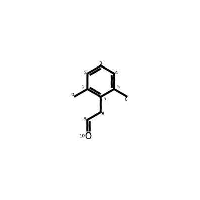 Cc1cccc(C)c1CC=O